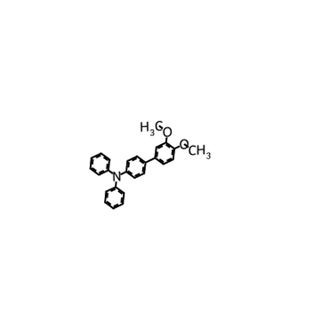 COc1ccc(-c2ccc(N(c3ccccc3)c3ccccc3)cc2)cc1OC